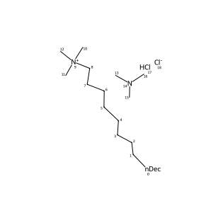 CCCCCCCCCCCCCCCCCC[N+](C)(C)C.CN(C)C.Cl.[Cl-]